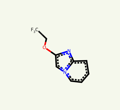 FC(F)(F)COc1cn2ccccc2n1